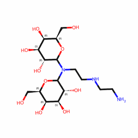 NCCNCCN(C1O[C@H](CO)[C@H](O)[C@H](O)[C@H]1O)C1O[C@H](CO)[C@H](O)[C@H](O)[C@H]1O